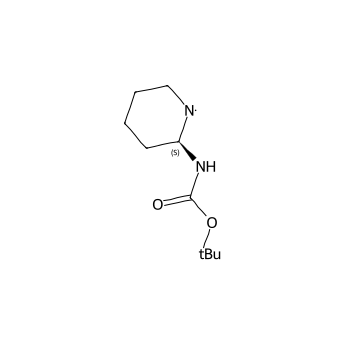 CC(C)(C)OC(=O)N[C@H]1CCCC[N]1